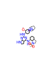 COc1cc(N2C3CCC2CN(C)C3)ccc1Nc1nc(Nc2cccc3c2N(S(C)(=O)=O)CC3)c2cc[nH]c2n1